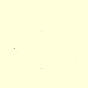 COc1nc(Nc2cc(-c3ccc(O[C@@H]4CCN(C(=O)[C@@H](C)O)CC4(F)F)c(C#N)c3)ncn2)ccc1N1CCN(C2COC2)C[C@@H]1C